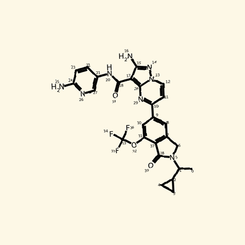 CC(C1CC1)N1Cc2cc(-c3ccn4nc(N)c(C(=O)Nc5ccc(N)nc5)c4n3)cc(OC(F)(F)F)c2C1=O